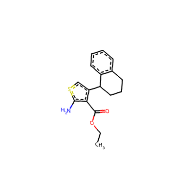 CCOC(=O)c1c(C2CCCc3ccccc32)csc1N